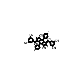 N#CC1=C(F)/C(=C(/C#N)c2cc(C#N)cc(C#N)c2)c2c1c(-c1ccc(F)cc1)c1c(c2-c2ccc(F)cc2)C(C#N)=C(F)/C1=C(/C#N)c1cc(C#N)cc(C#N)c1